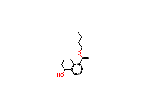 C=C(OCCCC)c1cccc2c1CCCC2O